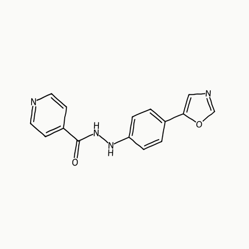 O=C(NNc1ccc(-c2cnco2)cc1)c1ccncc1